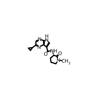 CN1CCC[C@@H](NC(=O)c2c[nH]c3ncc(C4CC4)nc23)C1=O